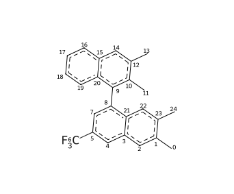 Cc1cc2cc(C(F)(F)F)cc(-c3c(C)c(C)cc4ccccc34)c2cc1C